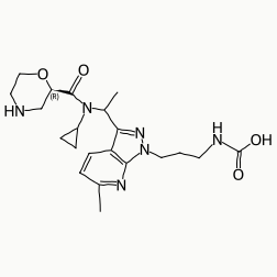 Cc1ccc2c(C(C)N(C(=O)[C@H]3CNCCO3)C3CC3)nn(CCCNC(=O)O)c2n1